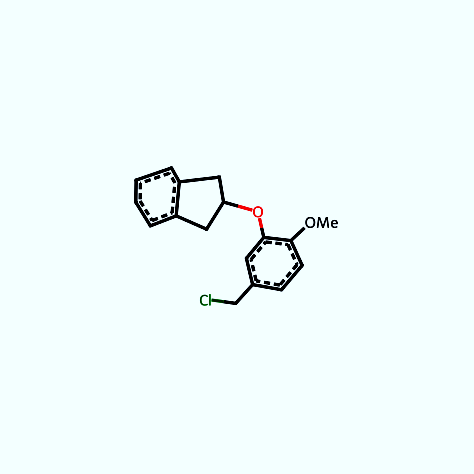 COc1ccc(CCl)cc1OC1Cc2ccccc2C1